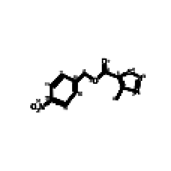 Cc1nnsc1C(=O)OCc1ccc([N+](=O)[O-])cc1